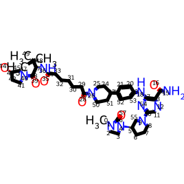 CN1CCN([C@@H]2CCCN(c3cnc(C(N)=O)c(Nc4ccc(C5CCN(C(=O)CCCCCC(=O)N[C@H](C(=O)N6CC[C@@H](O)C6)C(C)(C)C)CC5)cc4)n3)C2)C1=O